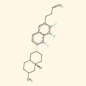 C=CCCc1cc2ccc([C@@H]3CC[C@@H]4CC(C)CCC4C3)c(F)c2c(F)c1F